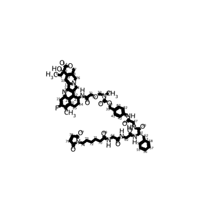 CC[C@@]1(O)C(=O)OCC2=C1C=C1c3nc4cc(F)c(C)c5c4c(c3CN1C2)C(NC(=O)COCN(C)C(=O)OCc1ccc(NC(=O)CNC(=O)[C@H](Cc2ccccc2)NC(=O)CNC(=O)CNC(=O)CCCCCN2C(=O)C=CC2=O)cc1)CC5